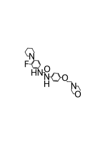 O=C(Nc1ccc(OCCN2CCOCC2)cc1)Nc1ccc(N2CCCCC2)c(F)c1